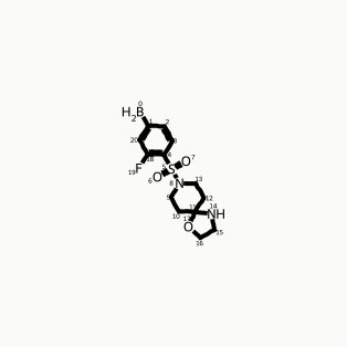 Bc1ccc(S(=O)(=O)N2CCC3(CC2)NCCO3)c(F)c1